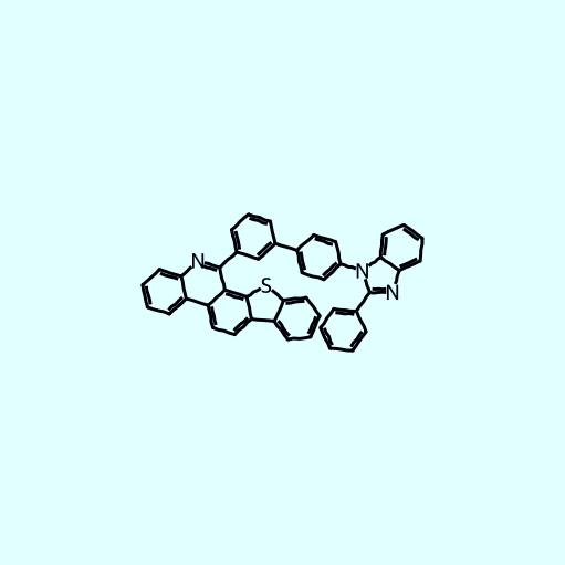 c1ccc(-c2nc3ccccc3n2-c2ccc(-c3cccc(-c4nc5ccccc5c5ccc6c7ccccc7sc6c45)c3)cc2)cc1